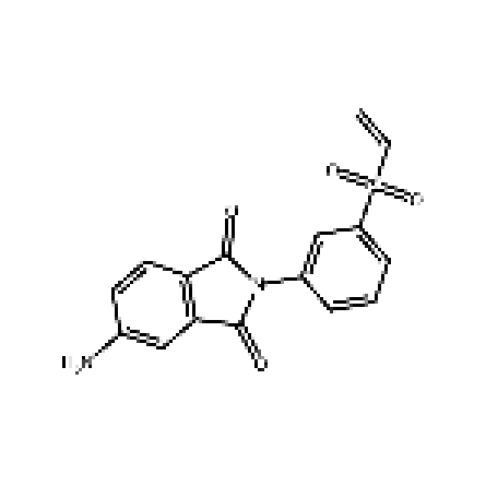 C=CS(=O)(=O)c1cccc(N2C(=O)c3ccc(N)cc3C2=O)c1